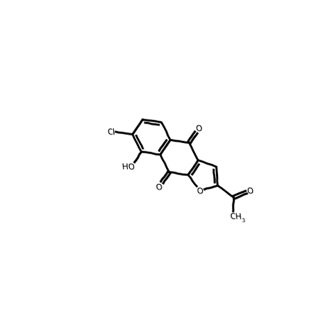 CC(=O)c1cc2c(o1)C(=O)c1c(ccc(Cl)c1O)C2=O